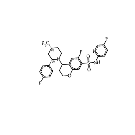 O=S(=O)(Nc1ccc(F)cn1)c1cc2c(cc1F)C(N1CC[C@@H](C(F)(F)F)C[C@H]1c1ccc(F)cc1)CCO2